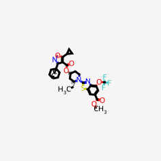 CC[C@@H]1C[C@H](OC(=O)c2c(C34CCC(CC3)CC4)noc2C2CC2)CCN1c1nc2c(OC(F)(F)F)cc(C(=O)OC)cc2s1